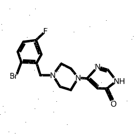 O=c1cc(N2CCN(Cc3cc(F)ccc3Br)CC2)nc[nH]1